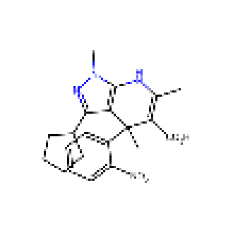 CC1=C(C(=O)O)C(C)(c2ccccc2[N+](=O)[O-])c2c(C3CCCC3)nn(C)c2N1